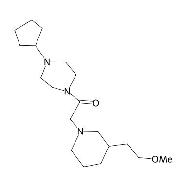 COCCC1CCCN(CC(=O)N2CCN(C3CCCC3)CC2)C1